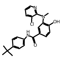 CN(c1cc(C(=O)Nc2ccc(C(C)(C)C)cc2)ccc1O)c1ncccc1Cl